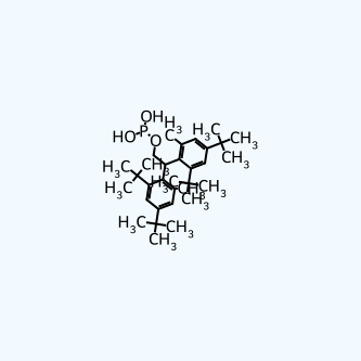 Cc1cc(C(C)(C)C)cc(C(C)(C)C)c1C(COP(O)O)c1c(C)cc(C(C)(C)C)cc1C(C)(C)C